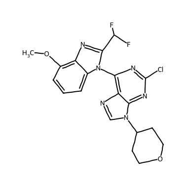 COc1cccc2c1nc(C(F)F)n2-c1nc(Cl)nc2c1ncn2C1CCOCC1